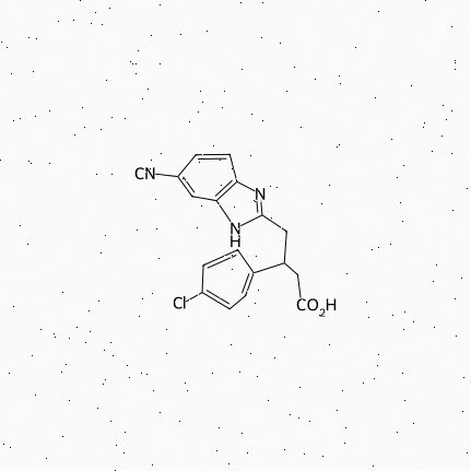 [C-]#[N+]c1ccc2nc(CC(CC(=O)O)c3ccc(Cl)cc3)[nH]c2c1